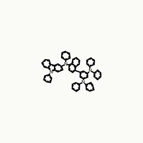 c1ccc(N(c2ccccc2)c2cc(-c3ccc(N(c4ccccc4)c4ccc5c(c4)c4ccccc4n5-c4ccccc4)c4ccccc34)cc(N(c3ccccc3)c3ccccc3)c2)cc1